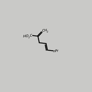 C=C(CC=CCCC)C(=O)O